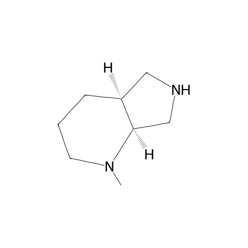 CN1CCC[C@H]2CNC[C@H]21